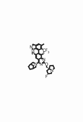 Cc1cc2cn[nH]c2c(-c2c(F)cc3c(N4CC5CCC(C5)C4)nc(OC[C@@]45CCCN4C[C@H](F)C5)nc3c2F)c1C(F)(F)F